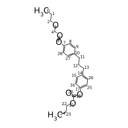 CCCOCOOc1ccc(CCCc2ccc(OC(=O)OCCC)cc2)cc1